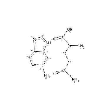 NC(=O)CCC(N)C(=O)O.Nc1ccc2nc[nH]c2c1